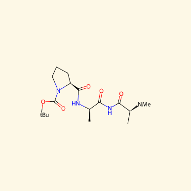 CN[C@@H](C)C(=O)NC(=O)[C@@H](C)NC(=O)[C@@H]1CCCN1C(=O)OC(C)(C)C